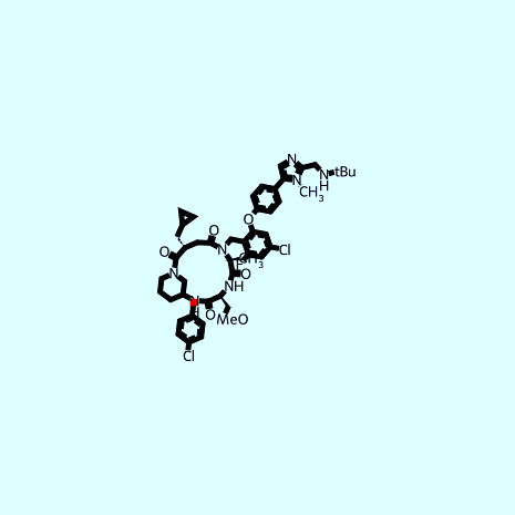 COC[C@@H]1NC(=O)[C@H](C)N(Cc2c(F)cc(Cl)cc2Oc2ccc(-c3cnc(CNC(C)(C)C)n3C)cc2)C(=O)C[C@@H](CC2CC2)C(=O)N2CCC[C@@](Cc3ccc(Cl)cc3)(C2)NC1=O